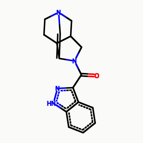 O=C(c1n[nH]c2ccccc12)N1CC2CN3C=C1C2CC3